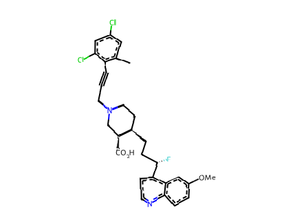 COc1ccc2nccc([C@@H](F)CC[C@@H]3CCN(CC#Cc4c(C)cc(Cl)cc4Cl)C[C@@H]3C(=O)O)c2c1